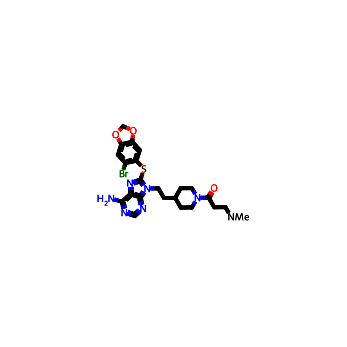 CNCCC(=O)N1CCC(CCn2c(Sc3cc4c(cc3Br)OCO4)nc3c(N)ncnc32)CC1